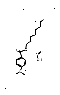 CCCCCCCCOC(=O)c1ccc(N(C)C)cc1.O=NO